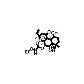 C=C[C@@]1(C)CC(=O)[C@]2(O)[C@@]3(C)[C@@H](O)CCC(C)(C)[C@@H]3[C@H](O)[C@H](OC(=O)NOCC)[C@@]2(C)O1